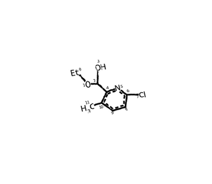 CCOC(O)c1nc(Cl)ccc1C